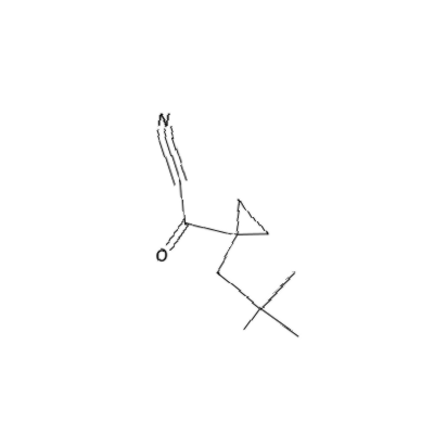 CC(C)(C)CC1(C(=O)C#N)CC1